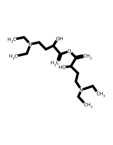 C=C(OC(=C)C(O)CCN(CC)CC)C(O)CCN(CC)CC